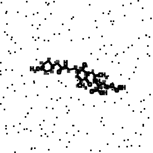 C=C(Cn1c(=O)c(C)cn(CCNC(=O)CN2CCN(C)CC2)c1=O)NC(CSOOO)C(=O)O